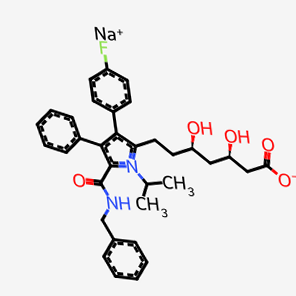 CC(C)n1c(CC[C@@H](O)C[C@@H](O)CC(=O)[O-])c(-c2ccc(F)cc2)c(-c2ccccc2)c1C(=O)NCc1ccccc1.[Na+]